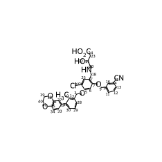 Cc1c(COc2cc(OCc3cccc(C#N)c3)c(CNCC(O)CC(=O)O)cc2Cl)cccc1-c1ccc2c(c1)OCCO2